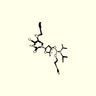 C#CCOc1cn([C@H]2C[C@@H](OP(OCCC#N)N(C(C)C)C(C)C)[C@@H](C)O2)c(=O)[nH]c1=O